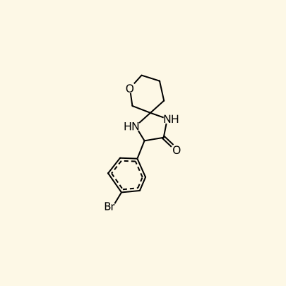 O=C1NC2(CCCOC2)NC1c1ccc(Br)cc1